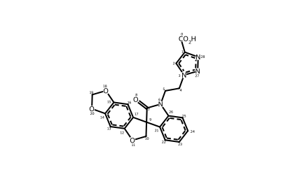 O=C(O)c1cn(CCN2C(=O)C3(COc4cc5c(cc43)OCO5)c3ccccc32)nn1